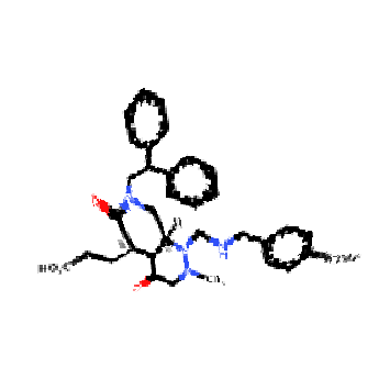 COc1ccc(CNCN2[C@H]3CN(CC(c4ccccc4)c4ccccc4)C(=O)[C@H](CCC(=O)O)C3C(=O)CN2C)cc1